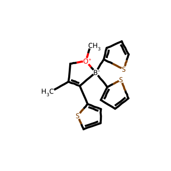 CC1=C(c2cccs2)[B-](c2cccs2)(c2cccs2)[O+](C)C1